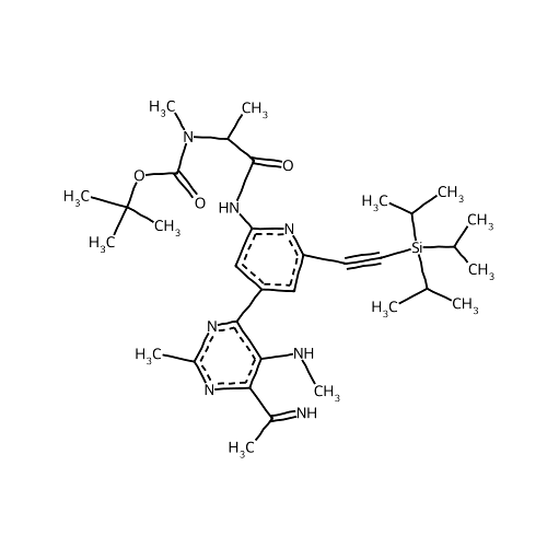 CNc1c(C(C)=N)nc(C)nc1-c1cc(C#C[Si](C(C)C)(C(C)C)C(C)C)nc(NC(=O)C(C)N(C)C(=O)OC(C)(C)C)c1